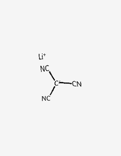 N#C[C-](C#N)C#N.[Li+]